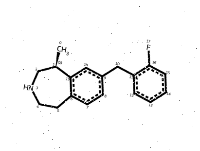 C[C@@H]1CNCCc2ccc(Cc3ccccc3F)cc21